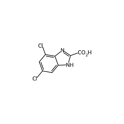 O=C(O)c1nc2c(Cl)cc(Cl)cc2[nH]1